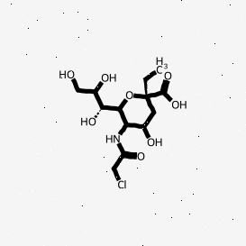 CC[C@@]1(C(=O)O)CC(O)C(NC(=O)CCl)C([C@H](O)C(O)CO)O1